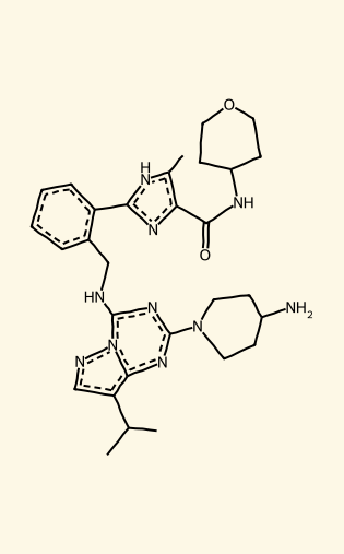 Cc1[nH]c(-c2ccccc2CNc2nc(N3CCC(N)CC3)nc3c(C(C)C)cnn23)nc1C(=O)NC1CCOCC1